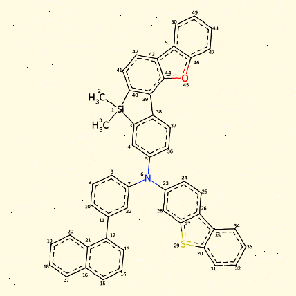 C[Si]1(C)c2cc(N(c3cccc(-c4cccc5ccccc45)c3)c3ccc4c(c3)sc3ccccc34)ccc2-c2c1ccc1c2oc2ccccc21